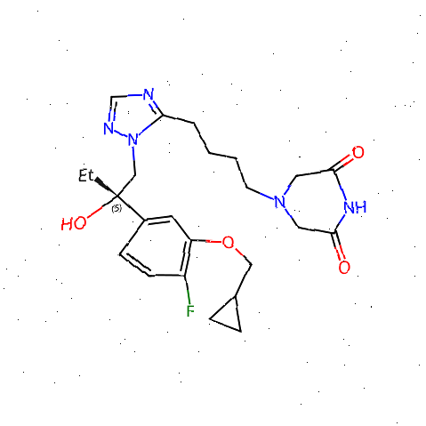 CC[C@@](O)(Cn1ncnc1CCCCN1CC(=O)NC(=O)C1)c1ccc(F)c(OCC2CC2)c1